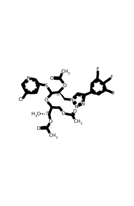 CC(=O)OCC(OC(Sc1cncc(Cl)c1)[C@H](Cn1cc(-c2cc(F)c(F)c(F)c2)nn1)OC(C)=O)[C@@H](C)OC(C)=O